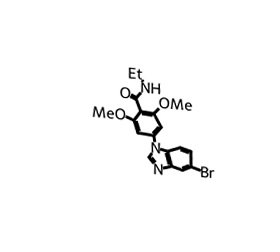 CCNC(=O)c1c(OC)cc(-n2cnc3cc(Br)ccc32)cc1OC